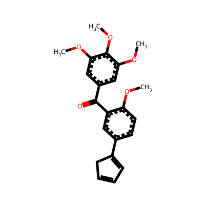 COc1ccc(C2=CC=CC2)cc1C(=O)c1cc(OC)c(OC)c(OC)c1